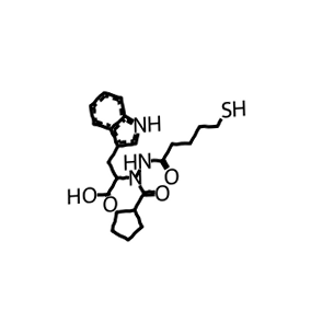 O=C(CCCCS)NN(C(=O)C1CCCC1)C(Cc1c[nH]c2ccccc12)C(=O)O